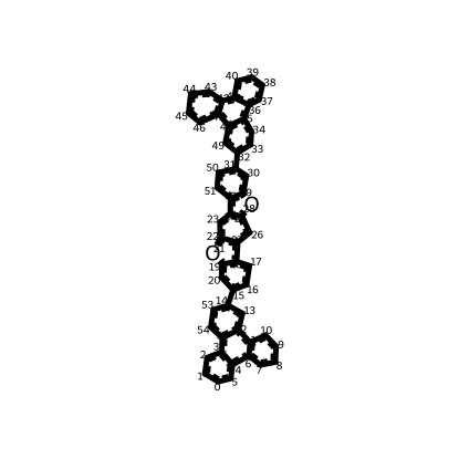 c1ccc2c(c1)c1ccccc1c1cc(-c3ccc4c(c3)oc3cc5c(cc34)oc3cc(-c4ccc6c7ccccc7c7ccccc7c6c4)ccc35)ccc21